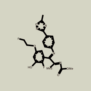 COC(=O)N=C(SC)C(=Nc1ccc(-c2noc(C)n2)cc1)c1cc(OCCF)cc(O)c1F